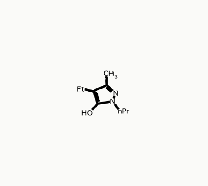 CCCn1nc(C)c(CC)c1O